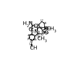 C#Cc1ccc(F)c([C@]2(C)C[S@@](=O)(=NC)C3(CCCC3)C(OC(N)=O)=N2)c1